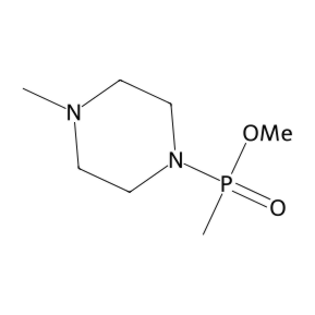 COP(C)(=O)N1CCN(C)CC1